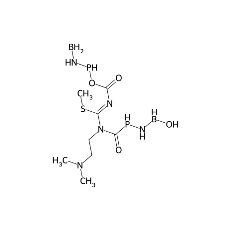 BNPOC(=O)/N=C(\SC)N(CCN(C)C)C(=O)PNBO